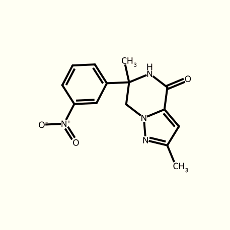 Cc1cc2n(n1)CC(C)(c1cccc([N+](=O)[O-])c1)NC2=O